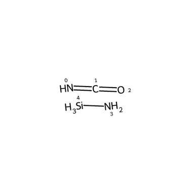 N=C=O.N[SiH3]